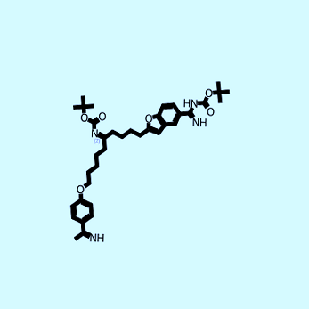 CC(=N)c1ccc(OCCCCC/C(CCCCc2cc3cc(C(=N)NC(=O)OC(C)(C)C)ccc3o2)=N/C(=O)OC(C)(C)C)cc1